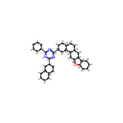 c1ccc(-c2nc(-c3ccc4ccccc4c3)nc(-c3ccc4ccc5cc6c(cc5c4c3)oc3ccccc36)n2)cc1